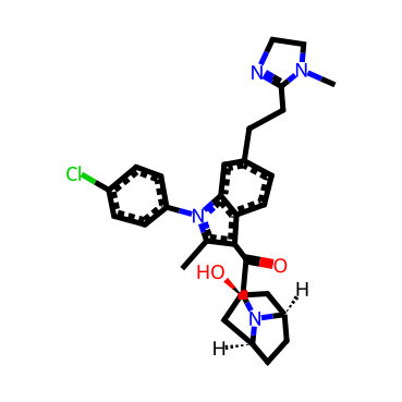 Cc1c(C(=O)CN2[C@@H]3CC[C@H]2C[C@@H](O)C3)c2ccc(CCC3=NCCN3C)cc2n1-c1ccc(Cl)cc1